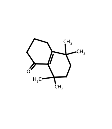 CC1(C)CCC(C)(C)C2=C1CCCC2=O